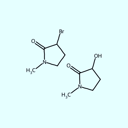 CN1CCC(Br)C1=O.CN1CCC(O)C1=O